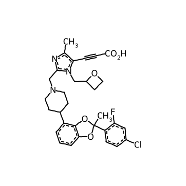 Cc1nc(CN2CCC(c3cccc4c3OC(C)(c3ccc(Cl)cc3F)O4)CC2)n(CC2CCO2)c1C#CC(=O)O